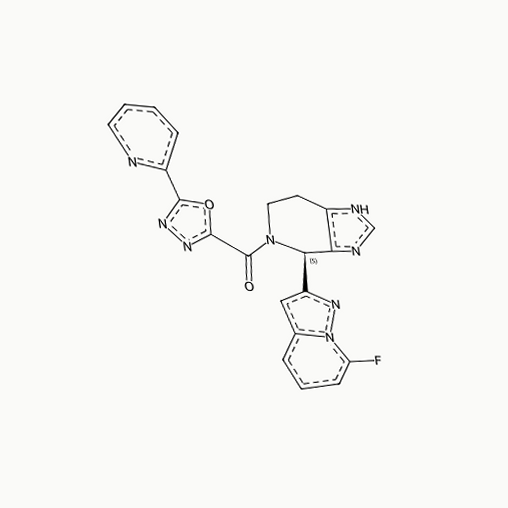 O=C(c1nnc(-c2ccccn2)o1)N1CCc2[nH]cnc2[C@H]1c1cc2cccc(F)n2n1